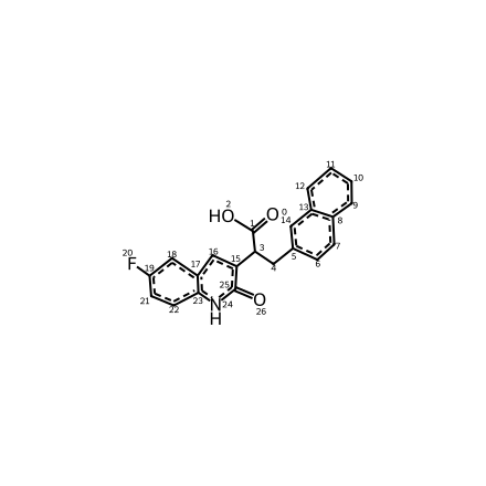 O=C(O)C(Cc1ccc2ccccc2c1)c1cc2cc(F)ccc2[nH]c1=O